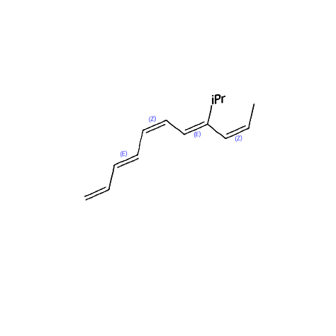 C=C/C=C/C=C\C=C(\C=C/C)C(C)C